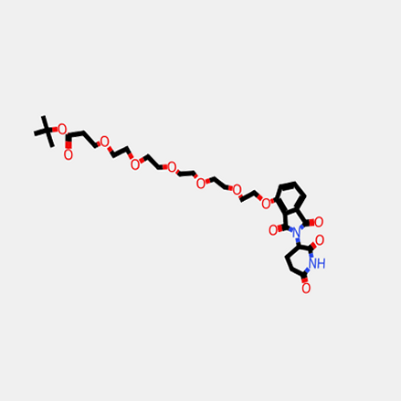 CC(C)(C)OC(=O)CCOCCOCCOCCOCCOCCOc1cccc2c1C(=O)N(C1CCC(=O)NC1=O)C2=O